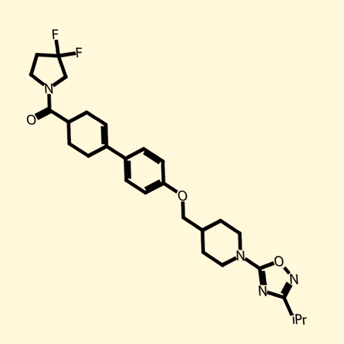 CC(C)c1noc(N2CCC(COc3ccc(C4=CCC(C(=O)N5CCC(F)(F)C5)CC4)cc3)CC2)n1